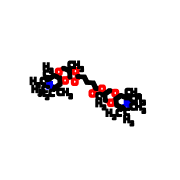 CN1C(C)(C)CC2(CC1(C)C)OCC(C)(OC(=O)CCCC(=O)OC1(C)COC3(CC(C)(C)N(C)C(C)(C)C3)OC1)CO2